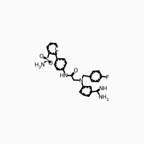 N=C(N)c1cccc(N(CC(=O)Nc2ccc(-c3ccccc3S(N)(=O)=O)cc2)Cc2ccc(F)cc2)c1